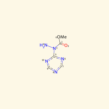 COC(=O)N(N)c1ncncn1